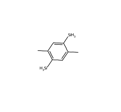 Cc1cc([SiH3])c(C)cc1[SiH3]